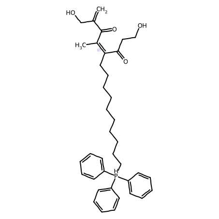 C=C(CO)C(=O)/C(C)=C(/CCCCCCCCCC[PH](c1ccccc1)(c1ccccc1)c1ccccc1)C(=O)CCO